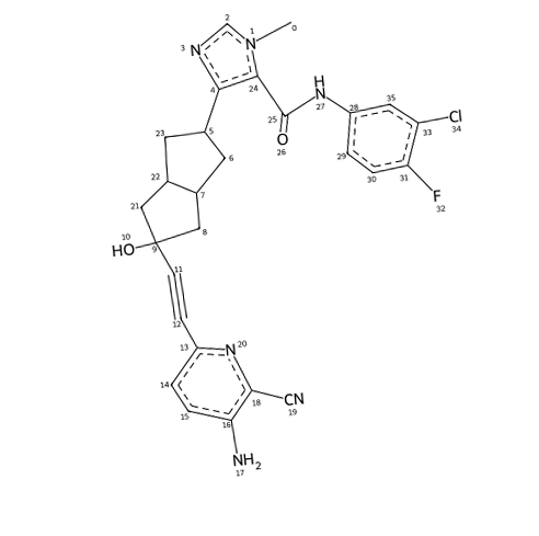 Cn1cnc(C2CC3CC(O)(C#Cc4ccc(N)c(C#N)n4)CC3C2)c1C(=O)Nc1ccc(F)c(Cl)c1